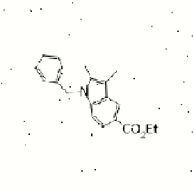 CCOC(=O)c1ccc2c(c1)c(C)c(C)n2Cc1ccccc1